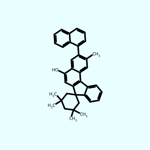 Cc1cc2c3c(cc(O)c2cc1-c1cccc2ccccc12)C1(CC(C)(C)CC(C)(C)C1)c1ccccc1-3